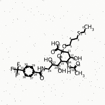 CCSCCCO[C@]1(C(=O)O)CC(O)[C@@H](NC(C)=O)C([C@H](O)[C@H](O)CNC(=O)c2ccc(C(F)(F)F)cc2)O1